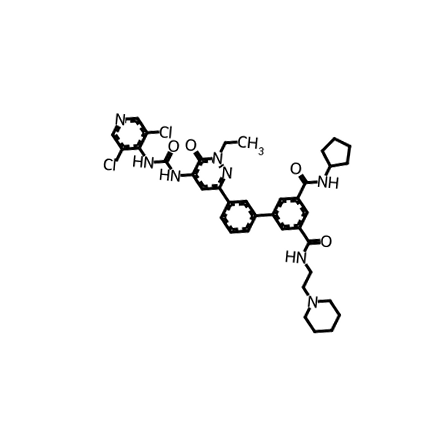 CCn1nc(-c2cccc(-c3cc(C(=O)NCCN4CCCCC4)cc(C(=O)NC4CCCC4)c3)c2)cc(NC(=O)Nc2c(Cl)cncc2Cl)c1=O